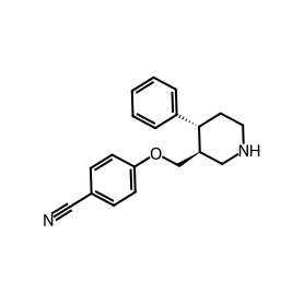 N#Cc1ccc(OC[C@@H]2CNCC[C@H]2c2ccccc2)cc1